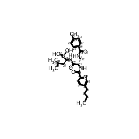 CCCCc1ccc(C(=O)N[C@@H](CNC(=O)c2ccc(C)cc2)C(=O)N[C@@H](CC(C)C)B(O)O)nc1